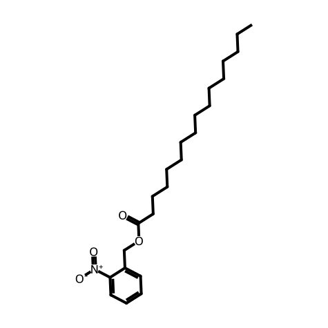 CCCCCCCCCCCCCCCC(=O)OCc1ccccc1[N+](=O)[O-]